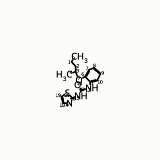 CCCC(C)Oc1ccccc1NC(=O)Nc1nccs1